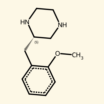 COc1ccccc1C[C@H]1CNCCN1